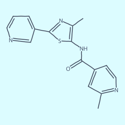 Cc1cc(C(=O)Nc2sc(-c3cccnc3)nc2C)ccn1